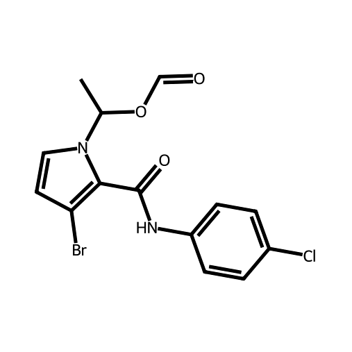 CC(OC=O)n1ccc(Br)c1C(=O)Nc1ccc(Cl)cc1